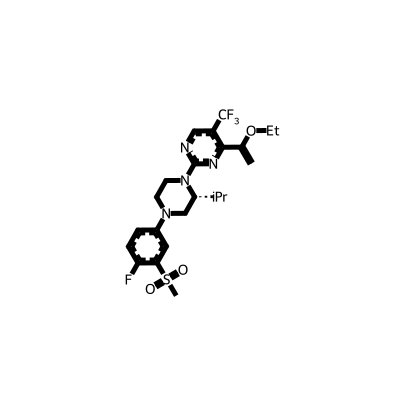 C=C(OCC)c1nc(N2CCN(c3ccc(F)c(S(C)(=O)=O)c3)C[C@H]2C(C)C)ncc1C(F)(F)F